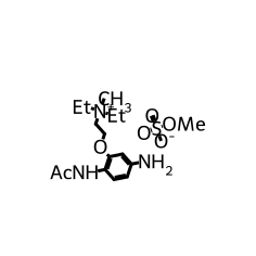 CC[N+](C)(CC)CCOc1cc(N)ccc1NC(C)=O.COS(=O)(=O)[O-]